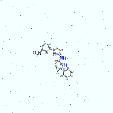 O=[N+]([O-])c1cccc(-c2csc(NC(=S)NC3(c4ccccc4)CC3)n2)c1